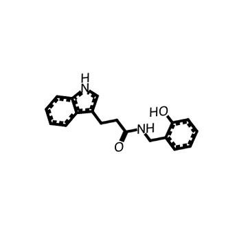 O=C(CCc1c[nH]c2ccccc12)NCc1ccccc1O